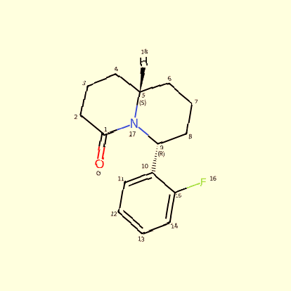 O=C1CCC[C@@H]2CCC[C@H](c3ccccc3F)N12